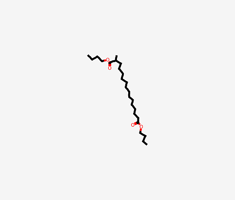 CCCCOC(=O)CCCCCCCCCCCCCC(C)C(=O)OCCCC